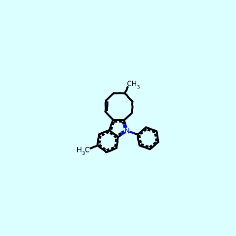 Cc1ccc2c(c1)c1c(n2-c2ccccc2)CCC(C)C/C=C\1